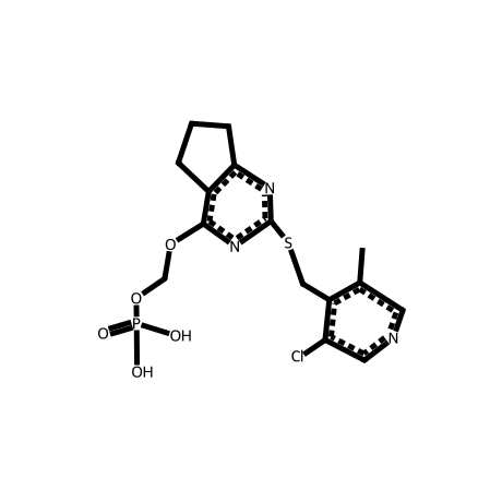 Cc1cncc(Cl)c1CSc1nc2c(c(OCOP(=O)(O)O)n1)CCC2